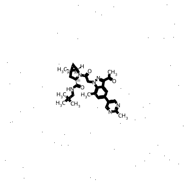 CC(=O)c1nn(CC(=O)N2[C@H](C(=O)NCC(C)(C)C)C[C@@]3(C)C[C@@H]23)c2c(C)cc(-c3cnc(C)nc3)cc12